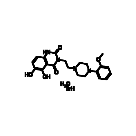 Br.COc1ccccc1N1CCN(CCn2c(=O)[nH]c3ccc(O)c(O)c3c2=O)CC1.O